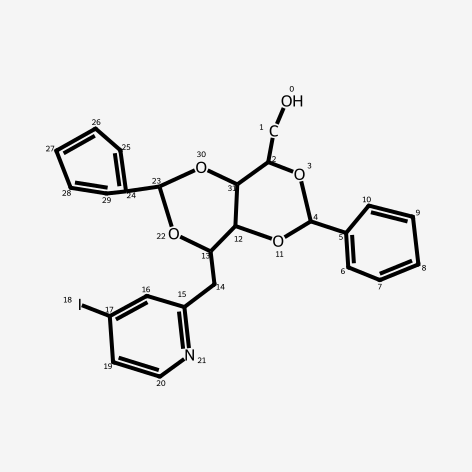 OCC1OC(c2ccccc2)OC2C(Cc3cc(I)ccn3)OC(c3ccccc3)OC12